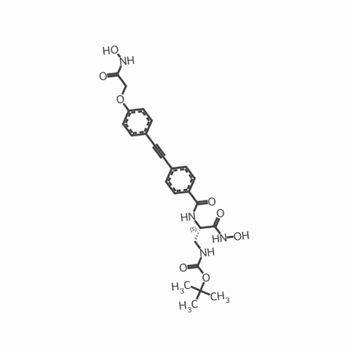 CC(C)(C)OC(=O)NC[C@H](NC(=O)c1ccc(C#Cc2ccc(OCC(=O)NO)cc2)cc1)C(=O)NO